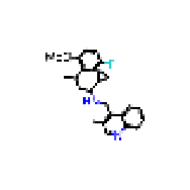 COc1ccc(F)cc1C(C)CC(NCc1c(C)cnc2ccccc12)C1CC1